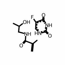 C=C(C)C(=O)NCC(C)O.O=c1[nH]cc(F)c(=O)[nH]1